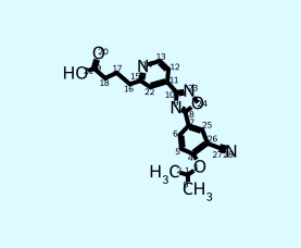 CC(C)Oc1ccc(-c2nc(-c3ccnc(CCCC(=O)O)c3)no2)cc1C#N